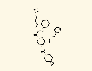 CCS(=O)(=O)NCCCC[C@@H](NC1CCCCC1)C(=O)N1CC[C@@H](NC(=O)N2CCC3(CC2)CC3)[C@@H](C(=O)NCc2cccs2)C1